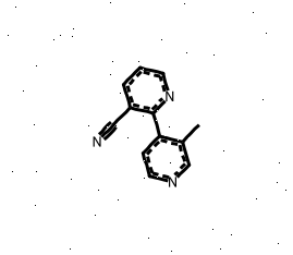 Cc1cnccc1-c1ncccc1C#N